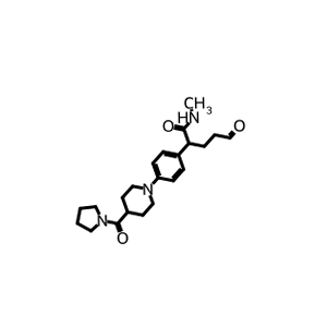 CNC(=O)C(CCC=O)c1ccc(N2CCC(C(=O)N3CCCC3)CC2)cc1